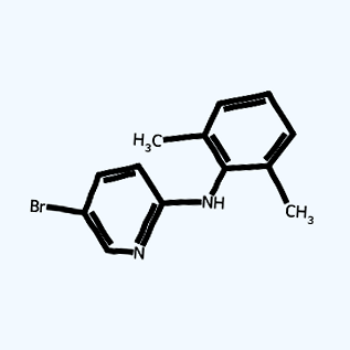 Cc1cccc(C)c1Nc1ccc(Br)cn1